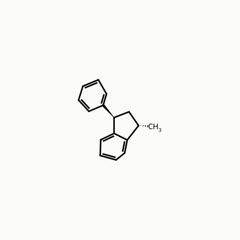 C[C@H]1C[C@H](c2ccccc2)c2ccccc21